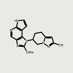 COc1nc2cnc3[nH]ccc3c2n1C1CCc2cc(C#N)nn2C1